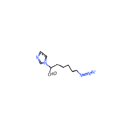 [N-]=[N+]=NCCCCCC(C=O)n1ccnc1